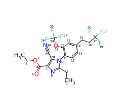 CCOC(=O)c1nc(CC)n(-c2ccc(CCC(F)(F)F)cc2OC(F)(F)F)c1C#N